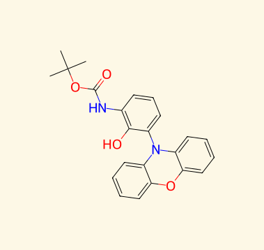 CC(C)(C)OC(=O)Nc1cccc(N2c3ccccc3Oc3ccccc32)c1O